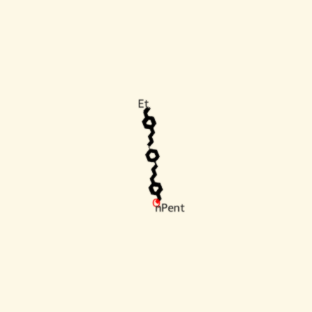 CCC=Cc1ccc(CCCC[C@H]2CC[C@H](CCCCc3ccc(COCCCCC)cc3)CC2)cc1